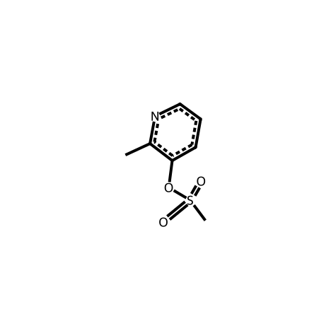 Cc1ncccc1OS(C)(=O)=O